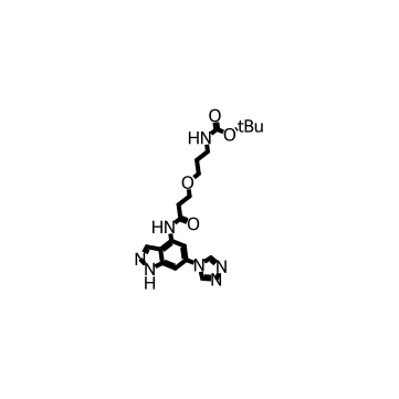 CC(C)(C)OC(=O)NCCCOCCC(=O)Nc1cc(-n2cnnc2)cc2[nH]ncc12